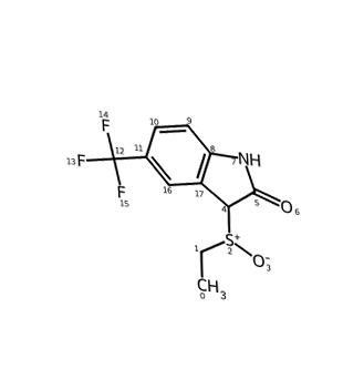 CC[S+]([O-])C1C(=O)Nc2ccc(C(F)(F)F)cc21